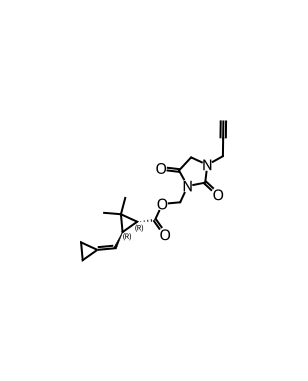 C#CCN1CC(=O)N(COC(=O)[C@@H]2[C@@H](C=C3CC3)C2(C)C)C1=O